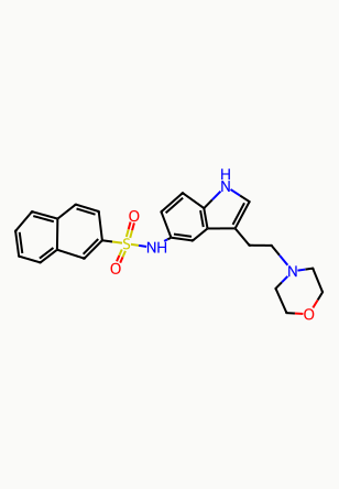 O=S(=O)(Nc1ccc2[nH]cc(CCN3CCOCC3)c2c1)c1ccc2ccccc2c1